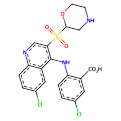 O=C(O)c1cc(Cl)ccc1Nc1c(S(=O)(=O)C2CNCCO2)cnc2ccc(Cl)cc12